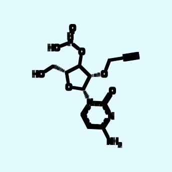 C#CCO[C@H]1C(O[PH](=O)O)[C@@H](CO)O[C@H]1n1ccc(N)nc1=O